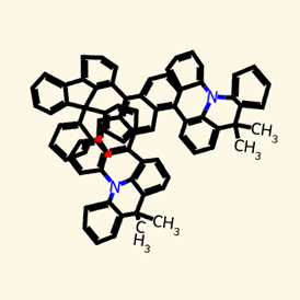 CC1(C)c2ccccc2N(c2ccccc2)c2c(-c3cccc4c(-c5cccc6c5C(c5ccccc5)(c5ccccc5)c5ccccc5-6)c5cccc(-c6cccc7c6N(c6ccccc6)c6ccccc6C7(C)C)c5cc34)cccc21